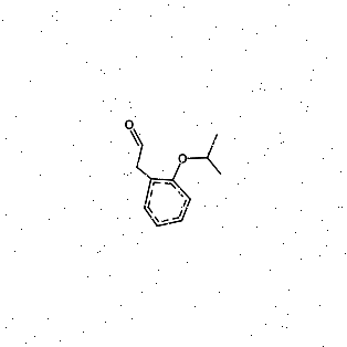 CC(C)Oc1ccccc1CC=O